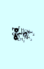 Cc1cccc2c(=O)n(-c3cc(F)cc(F)c3)c(CCNc3nc(N)nc(N)c3C#N)nc12